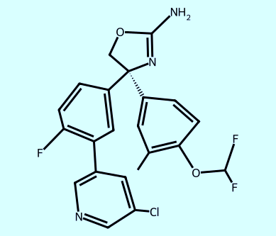 Cc1cc([C@]2(c3ccc(F)c(-c4cncc(Cl)c4)c3)COC(N)=N2)ccc1OC(F)F